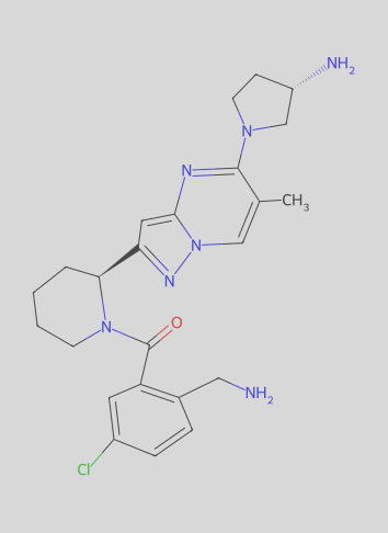 Cc1cn2nc([C@@H]3CCCCN3C(=O)c3cc(Cl)ccc3CN)cc2nc1N1CC[C@H](N)C1